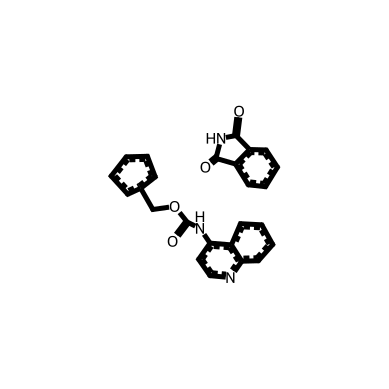 O=C(Nc1ccnc2ccccc12)OCc1ccccc1.O=C1NC(=O)c2ccccc21